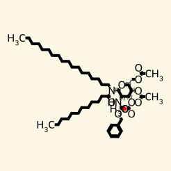 CCCCCCCCCCCCCCCCCCN(C(=O)CCCCCCCCCCC)[C@@H]1O[C@H](COC(C)=O)[C@H](OC(C)=O)[C@H](OC(C)=O)[C@H]1NC(=O)OCc1ccccc1